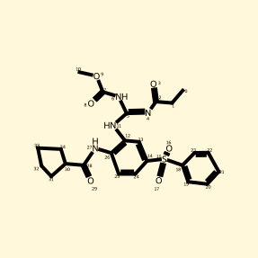 CCC(=O)N=C(NC(=O)OC)Nc1cc(S(=O)(=O)c2ccccc2)ccc1NC(=O)C1CCCC1